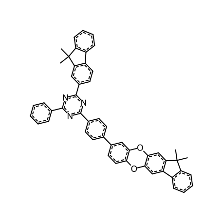 CC1(C)c2ccccc2-c2ccc(-c3nc(-c4ccccc4)nc(-c4ccc(-c5ccc6c(c5)Oc5cc7c(cc5O6)-c5ccccc5C7(C)C)cc4)n3)cc21